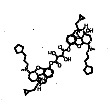 CN(CCCC1CCCC1)C1CC[C@@]2(O)[C@H]3Cc4ccc(OC(=O)C(O)C(O)C(=O)Oc5ccc6c7c5OC5C(N(C)CCCC8CCCC8)CC[C@@]8(O)[C@@H](C6)N(CC6CC6)CC[C@]758)c5c4[C@@]2(CCN3CC2CC2)C1O5